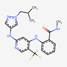 CNC(=O)c1ccccc1Nc1cc(Nc2cnn(CC(C)C)c2)ncc1C(F)(F)F